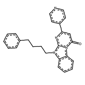 O=c1cc(-c2ccncc2)nc2n(CCCCc3ccccc3)c3ccccc3n12